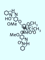 COC(=O)C(C)(C)CC(C)(C)Oc1cc(COc2cc3c(cc2OC)C(=O)N2c4ccccc4C[C@H]2C=N3)cc(COc2cc3c(cc2OC)C(O)N2c4ccccc4C[C@H]2C=N3)c1